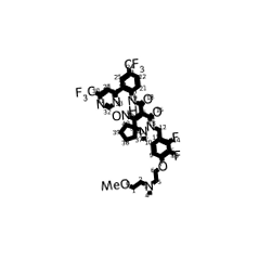 COCCN(C)CCOc1ccc(CN2C(=O)C(C(=O)Nc3ccc(C(F)(F)F)cc3-c3cc(C(F)(F)F)ncn3)=C(N=O)C3(CCCC3)N2C)c(F)c1F